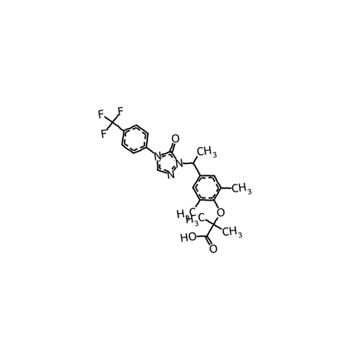 Cc1cc(C(C)n2ncn(-c3ccc(C(F)(F)F)cc3)c2=O)cc(C)c1OC(C)(C)C(=O)O